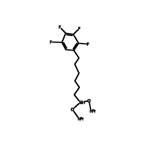 CCCO[SiH](CCCCCCc1cc(F)c(F)c(F)c1F)OCCC